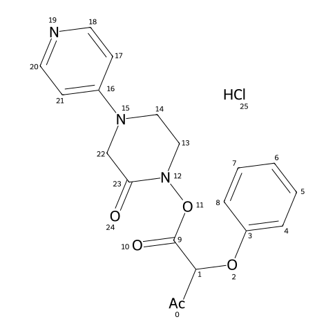 CC(=O)C(Oc1ccccc1)C(=O)ON1CCN(c2ccncc2)CC1=O.Cl